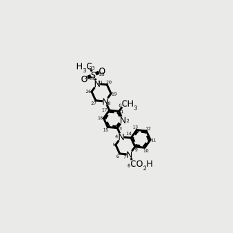 Cc1nc(N2CCN(C(=O)O)c3ccccc32)ccc1N1CCN(S(C)(=O)=O)CC1